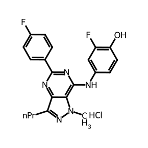 CCCc1nn(C)c2c(Nc3ccc(O)c(F)c3)nc(-c3ccc(F)cc3)nc12.Cl